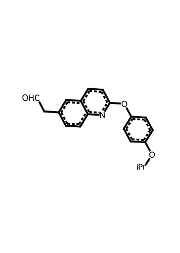 CC(C)Oc1ccc(Oc2ccc3cc(CC=O)ccc3n2)cc1